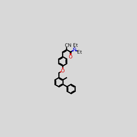 CCN(CC)C(=O)C(C#N)=Cc1ccc(OCc2cccc(-c3ccccc3)c2C)cc1